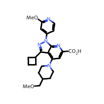 COCC1CCN(c2cc(C(=O)O)nc3c2c(C2CCC2)nn3-c2ccnc(OC)c2)CC1